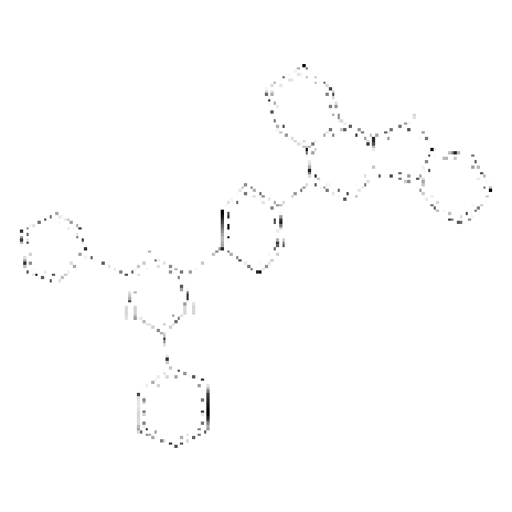 c1ccc(-c2nc(-c3ccccc3)nc(-c3ccc(-c4cn5c6ccccc6nc5c5ccccc45)cc3)n2)cc1